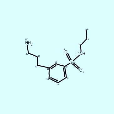 CCCNS(=O)(=O)c1cccc(CCCN)c1